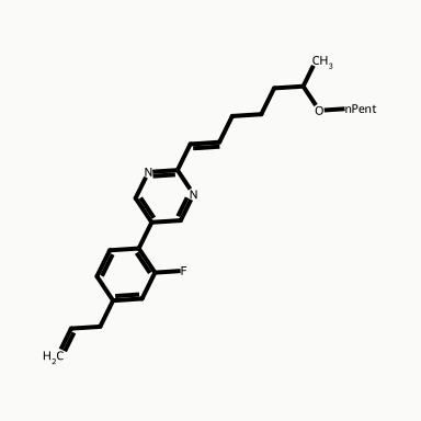 C=CCc1ccc(-c2cnc(C=CCCCC(C)OCCCCC)nc2)c(F)c1